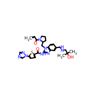 C=CC(=O)N1CCCC1Cn1c(NC(=O)c2ccc(-n3cncn3)s2)nc2cc(CNCC(C)(C)O)ccc21